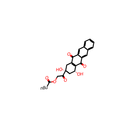 CCCCC(=O)OCC(=O)[C@@]1(O)CC2=C(C(=O)c3cc4ccccc4cc3C2=O)[C@H](O)C1